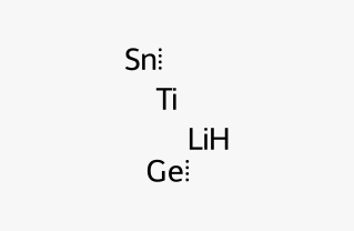 [Ge].[LiH].[Sn].[Ti]